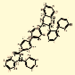 c1ccc(-c2ccccc2-c2nc3ccccc3nc2-c2ccc(-c3ccc(-c4nc5ccccc5n4-c4ccccc4)cc3)cc2)cc1